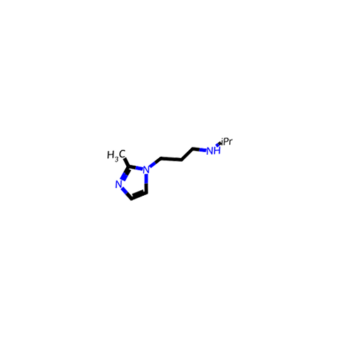 Cc1nccn1CCCNC(C)C